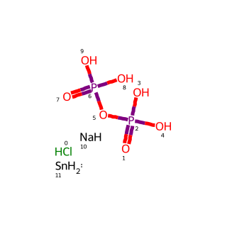 Cl.O=P(O)(O)OP(=O)(O)O.[NaH].[SnH2]